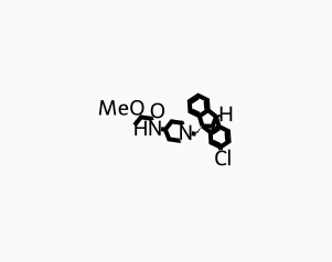 CO[C@H](C)C(=O)NC1CCN(C[C@@]23C[C@H](c4ccccc42)c2ccc(Cl)cc23)CC1